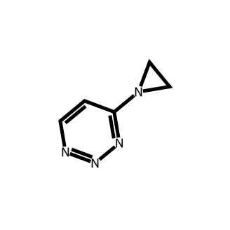 c1cc(N2CC2)nnn1